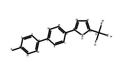 Cc1ccc(-c2ccc(-c3ccc(C(F)(F)F)s3)cc2)cc1